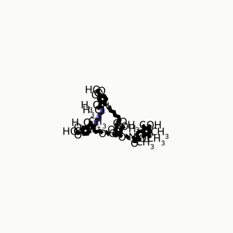 Cc1c(C)c2c(c(C)c1O)CCC(C)(C(=O)NCCOCCOCCOCC[N+]1=C(/C=C/C=C/C=C3/N(CCCCCC(=O)ON4C(=O)CCC4=O)c4ccc(S(=O)(=O)O)cc4C3(C)C)C(C)(C)c3cc(S(=O)(=O)O)ccc31)O2